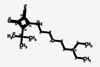 CCN(CC)CCOCCNc1c(C(C)(C)C)c(=O)c1=S